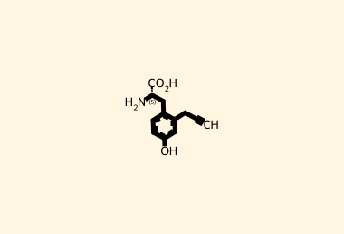 C#CCc1cc(O)ccc1C[C@H](N)C(=O)O